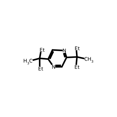 CCC(C)(CC)c1cnc(C(C)(CC)CC)cn1